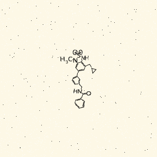 CN1c2cc(-c3cccc(CNC(=O)c4ccccc4)c3)cc(CC3CC3)c2NS1(=O)=O